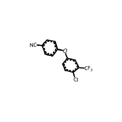 N#Cc1ccc(Oc2ccc(Cl)c(C(F)(F)F)c2)cc1